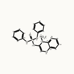 O=C(O)N1C(OP(=O)(Oc2ccccc2)Oc2ccccc2)=COc2cccnc21